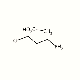 CC(=O)O.PCCCCl